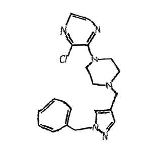 Clc1nccnc1N1CCN(Cc2cnn(Cc3ccccc3)c2)CC1